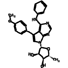 COc1ccc(-c2cn([C@@H]3O[C@H](C)[C@@H](O)[C@H]3O)c3ncnc(Nc4ccccc4)c23)cc1